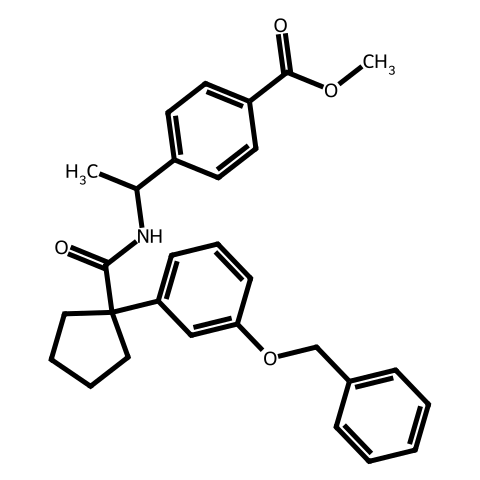 COC(=O)c1ccc(C(C)NC(=O)C2(c3cccc(OCc4ccccc4)c3)CCCC2)cc1